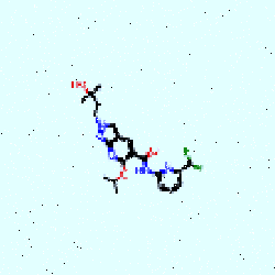 CC(C)Oc1nc2nn(CCC(C)(C)O)cc2cc1C(=O)Nc1cccc(C(F)F)n1